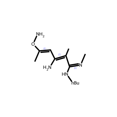 CCCCNC(=N/C)/C(C)=C(N)/C=C(\C)ON